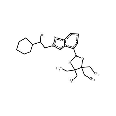 CCC1(CC)OB(c2cccc3nn(CC(O)C4CCCCC4)cc23)OC1(CC)CC